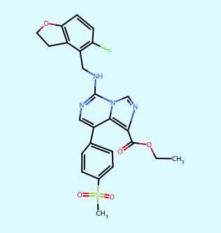 CCOC(=O)c1ncn2c(NCc3c(F)ccc4c3CCO4)ncc(-c3ccc(S(C)(=O)=O)cc3)c12